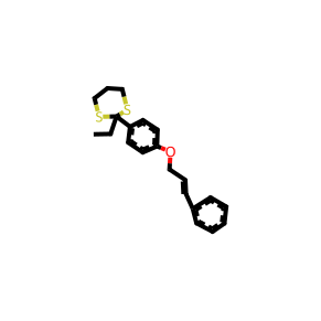 CCC1(c2ccc(OCC=Cc3ccccc3)cc2)SCCCS1